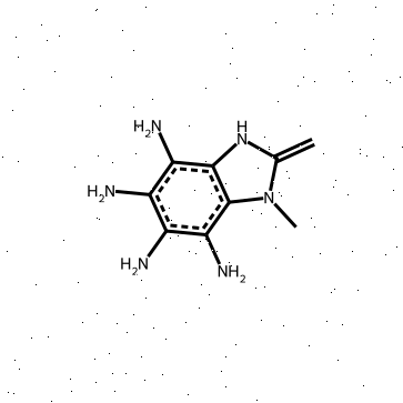 C=C1Nc2c(N)c(N)c(N)c(N)c2N1C